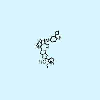 CCn1nccc1C1(O)CC2CC(c3ncn(C)c3C(=O)Nc3ccc(F)c(Cl)c3)CC2C1